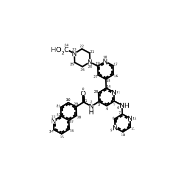 O=C(Nc1cc(Nc2cnccn2)nc(-c2ccnc(N3CCN(C(=O)O)CC3)c2)c1)c1ccc2ncccc2c1